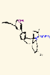 C=C(C)/C(N)=N\C1(C)c2cc(C3=CPCC(C#CC)=C3)ccc2C[C@]12CC[C@@H](CC)CC2